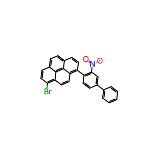 O=[N+]([O-])c1cc(-c2ccccc2)ccc1-c1ccc2ccc3ccc(Br)c4ccc1c2c34